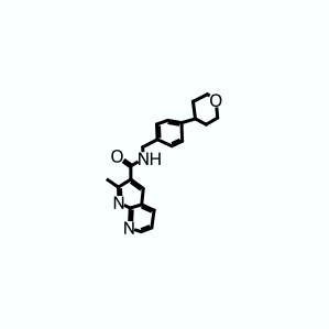 Cc1nc2ncccc2cc1C(=O)NCc1ccc(C2CCOCC2)cc1